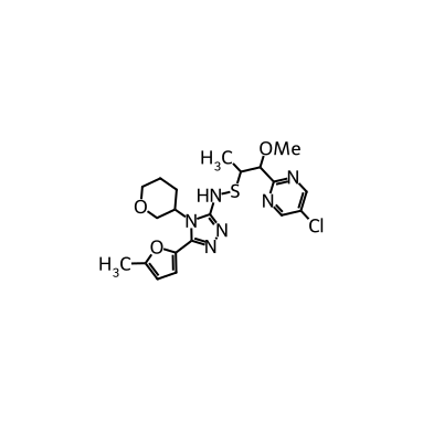 COC(c1ncc(Cl)cn1)C(C)SNc1nnc(-c2ccc(C)o2)n1C1CCCOC1